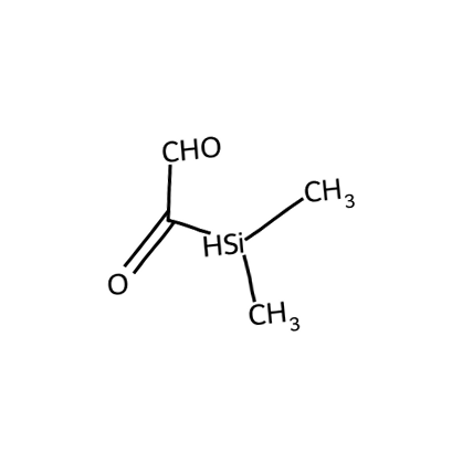 C[SiH](C)C(=O)C=O